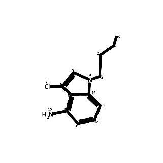 CCCCn1cc(Cl)c2c(N)cccc21